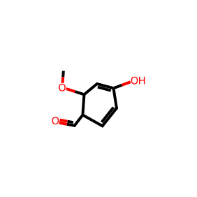 COC1C=C(O)C=CC1C=O